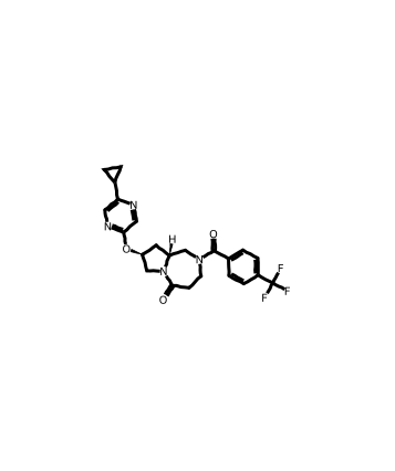 O=C(c1ccc(C(F)(F)F)cc1)N1CCC(=O)N2C[C@@H](Oc3cnc(C4CC4)cn3)C[C@@H]2C1